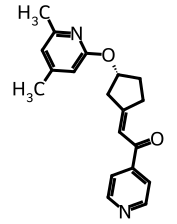 Cc1cc(C)nc(O[C@@H]2CC/C(=C\C(=O)c3ccncc3)C2)c1